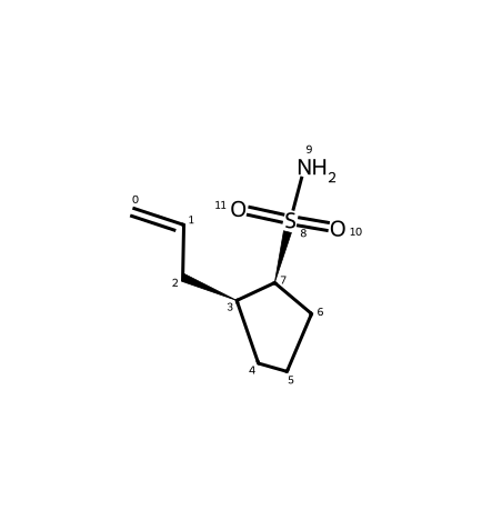 C=CC[C@@H]1CCC[C@@H]1S(N)(=O)=O